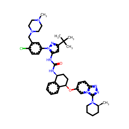 C[C@H]1CCCCN1c1nnc2ccc(O[C@@H]3CC[C@H](NC(=O)Nc4cc(C(C)(C)C)nn4-c4ccc(Cl)c(CN5CCN(C)CC5)c4)c4ccccc43)cn12